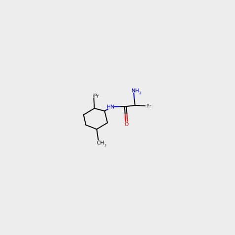 CC1CCC(C(C)C)C(NC(=O)C(N)C(C)C)C1